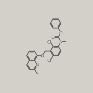 Cc1ccc2cccc(OCc3c(Cl)ccc(N(C)C(=O)Oc4ccccc4)c3Cl)c2n1